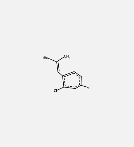 CC(=Cc1ccc(Cl)cc1Cl)C(C)(C)C